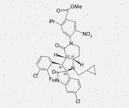 COC(=O)c1cc([N+](=O)[O-])c(N2CC[C@H]3[C@@H](C2=O)[C@H](c2cccc(Cl)c2F)[C@]2(C(=O)Nc4cc(Cl)ccc42)N3CC2CC2)cc1C(C)C